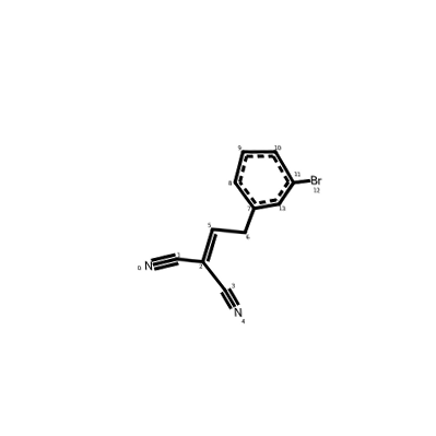 N#CC(C#N)=CCc1cccc(Br)c1